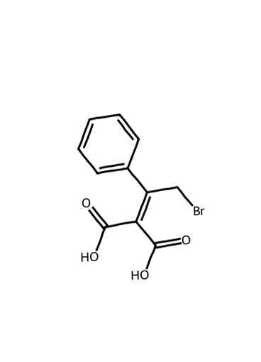 O=C(O)C(C(=O)O)=C(CBr)c1ccccc1